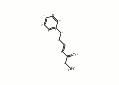 CC(C)CC(=O)/C=C/CCc1ccccc1